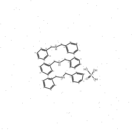 O=P(O)(O)O.c1ccc(CNCc2ccccc2)cc1.c1ccc(CNCc2ccccc2)cc1.c1ccc(CNCc2ccccc2)cc1